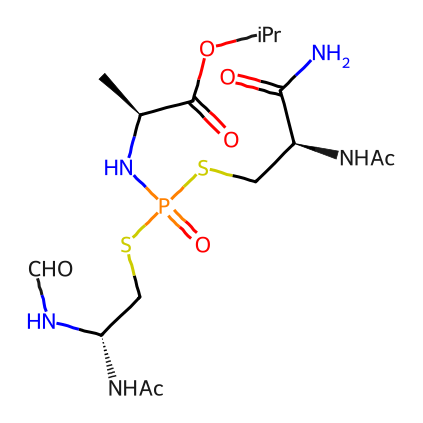 CC(=O)N[C@@H](CSP(=O)(N[C@@H](C)C(=O)OC(C)C)SC[C@H](NC(C)=O)C(N)=O)NC=O